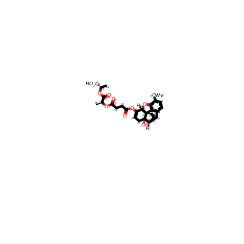 COc1ccc2c3c1O[C@H]1C(OC(=O)CCC(=O)O[C@@H](C)C(=O)O[C@@H](C)C(=O)O)=CC[C@@]4(O)[C@H](CCC[C@]314)C2